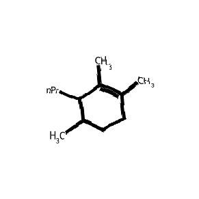 CCCC1C(C)=C(C)CCC1C